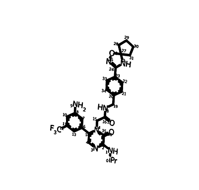 CC(C)Nc1ncc(-c2cc(N)cc(C(F)(F)F)c2)n(CC(=O)NCc2ccc(C3=NOC4(CCCC4)N3)cc2)c1=O